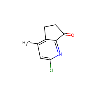 Cc1cc(Cl)nc2c1CCC2=O